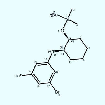 CC(C)(C)[Si](C)(C)O[C@H]1CCCC[C@H]1Nc1cc(F)cc(Br)c1